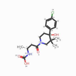 C[C@H](CC(=O)N1CC[C@](O)(c2ccc(Cl)cc2)C(C)(C)C1)NC(=O)O